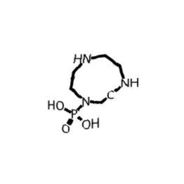 O=P(O)(O)N1CCNCCNCC1